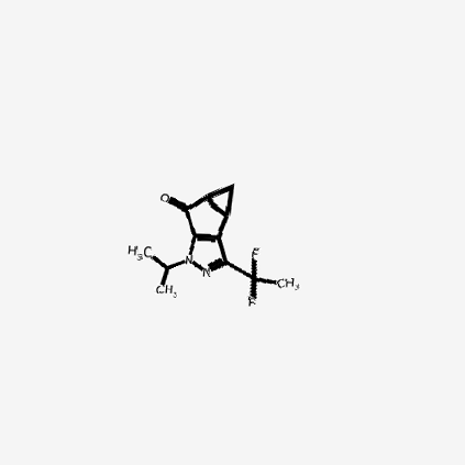 CC(C)n1nc(C(C)(F)F)c2c1C(=O)C1CC21